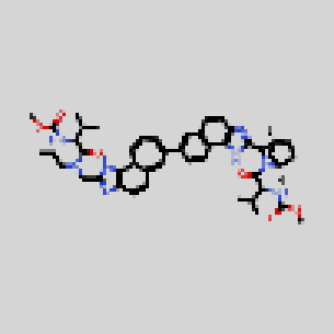 CCCN(Cc1nc2c([nH]1)C1C=CC=C(c3ccc4c(ccc5nc(C6[C@H]7CC[C@H](C7)N6C(=O)[C@@H](NC(=O)OC)C(C)C)[nH]c54)c3)C=C1C=C2)C(=O)[C@@H](NC(=O)OC)C(C)C